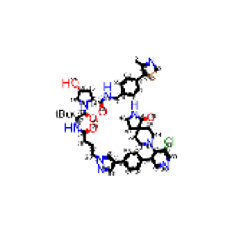 Cc1ncsc1-c1ccc(CNC(=O)[C@H]2C[C@@H](O)CN2C(=O)[C@H](NC(=O)CCCn2cc(-c3ccc(-c4cncc(Cl)c4N4CCC5(CCNC5=O)CC4)cc3)cn2)C(C)(C)C)cc1